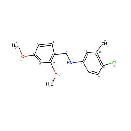 COc1ccc(CNc2[c]cc(Cl)c(C)c2)c(OC)c1